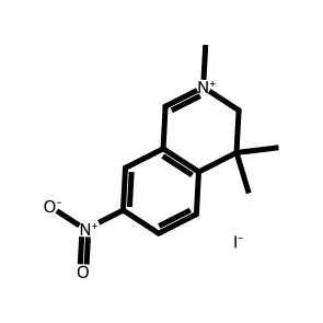 C[N+]1=Cc2cc([N+](=O)[O-])ccc2C(C)(C)C1.[I-]